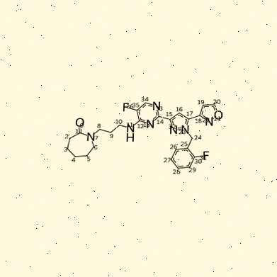 O=C1CCCCCN1CCCNc1nc(-c2cc(-c3ccon3)n(Cc3ccccc3F)n2)ncc1F